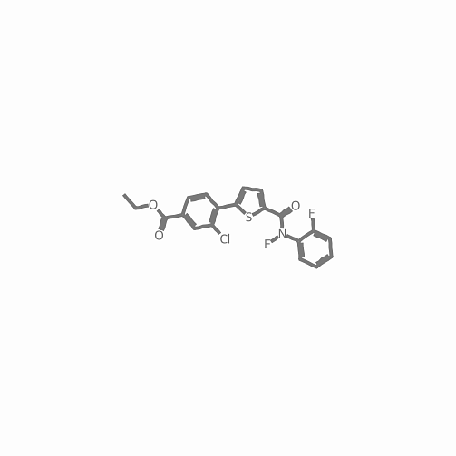 CCOC(=O)c1ccc(-c2ccc(C(=O)N(F)c3ccccc3F)s2)c(Cl)c1